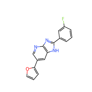 Fc1cccc(-c2nc3ncc(-c4ccco4)cc3[nH]2)c1